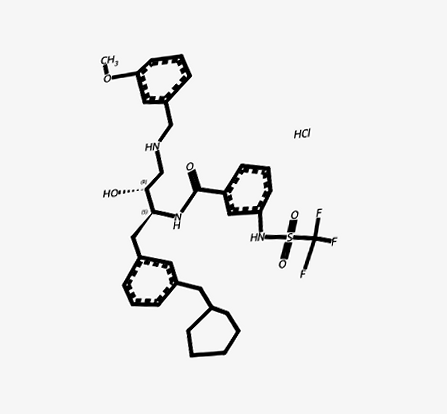 COc1cccc(CNC[C@@H](O)[C@H](Cc2cccc(CC3CCCCC3)c2)NC(=O)c2cccc(NS(=O)(=O)C(F)(F)F)c2)c1.Cl